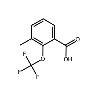 Cc1cccc(C(=O)O)c1OC(F)(F)F